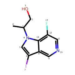 CC(CO)n1cc(I)c2cncc(F)c21